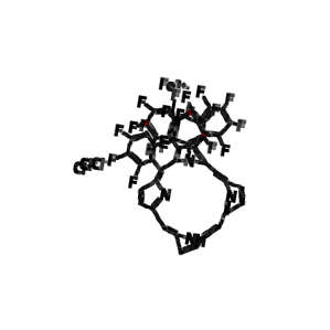 Fc1c(F)c(F)c(-c2c(-c3c(F)c(F)c(F)c(F)c3F)c3c(-c4c(F)c(F)c(F)c(F)c4F)c4nc(cc5ccc(cc6nc(cc2n3-c2c(F)c(F)c(F)c(F)c2F)C=C6)[nH]5)C=C4)c(F)c1F.[Cl-].[Cl-].[Cl-].[Fe+3]